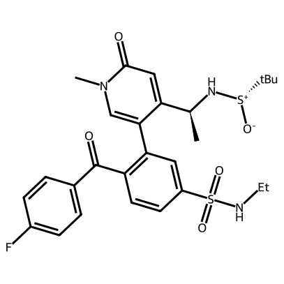 CCNS(=O)(=O)c1ccc(C(=O)c2ccc(F)cc2)c(-c2cn(C)c(=O)cc2[C@H](C)N[S@@+]([O-])C(C)(C)C)c1